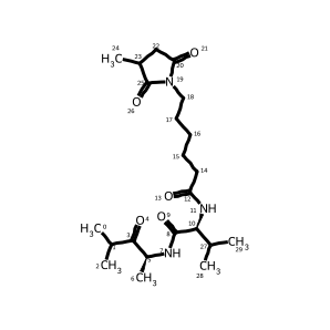 CC(C)C(=O)[C@H](C)NC(=O)[C@@H](NC(=O)CCCCCN1C(=O)CC(C)C1=O)C(C)C